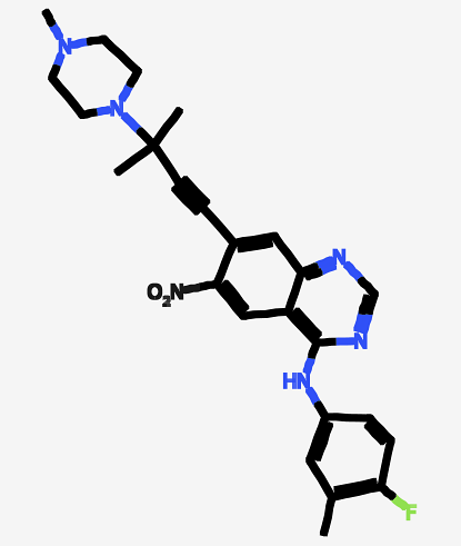 Cc1cc(Nc2ncnc3cc(C#CC(C)(C)N4CCN(C)CC4)c([N+](=O)[O-])cc23)ccc1F